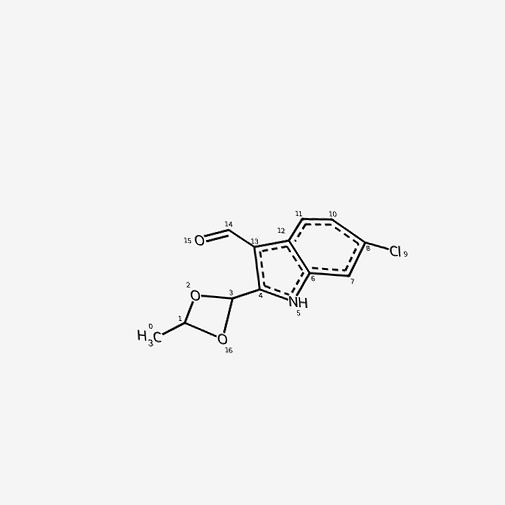 CC1OC(c2[nH]c3cc(Cl)ccc3c2C=O)O1